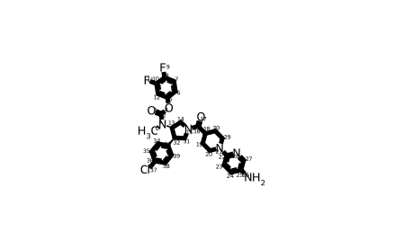 CN(C(=O)Oc1ccc(F)c(F)c1)[C@@H]1CN(C(=O)C2CCN(c3ccc(N)cn3)CC2)C[C@H]1c1ccc(Cl)cc1